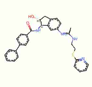 C/C(=N\c1ccc2c(c1)[C@@H](NC(=O)c1ccc(-c3ccccc3)cc1)[C@H](O)C2)NCCSc1ccccn1